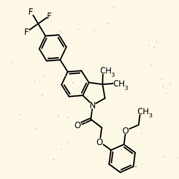 CCOc1c[c]ccc1OCC(=O)N1CC(C)(C)c2cc(-c3ccc(C(F)(F)F)cc3)ccc21